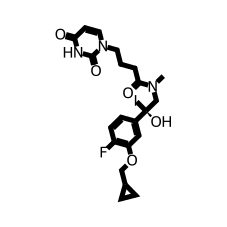 CN(C[C@](O)(I)c1ccc(F)c(OCC2CC2)c1)C(=O)CCCn1ccc(=O)[nH]c1=O